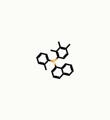 Cc1ccccc1P(c1ccc(C)c(C)c1C)c1cccc2ccccc12